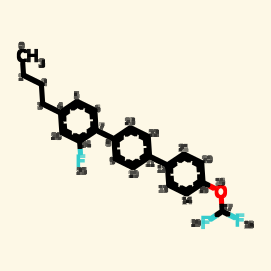 CCCCc1ccc(-c2ccc(-c3ccc(OC(F)F)cc3)cc2)c(F)c1